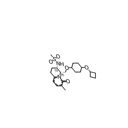 Cc1ccc2n(c1=O)[C@@H](COC1CCC(OC3CCC3)CC1)[C@@H](NS(C)(=O)=O)CC2